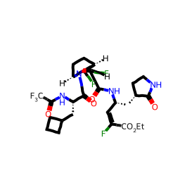 CCOC(=O)/C(F)=C\[C@@H](C[C@@H]1CCNC1=O)NC(=O)[C@H]1[C@@H]2CC[C@@H](CC2(F)F)N1C(=O)[C@H](CC1CCC1)NC(=O)C(F)(F)F